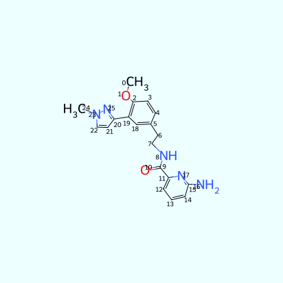 COc1ccc(CCNC(=O)c2cccc(N)n2)cc1-c1ccn(C)n1